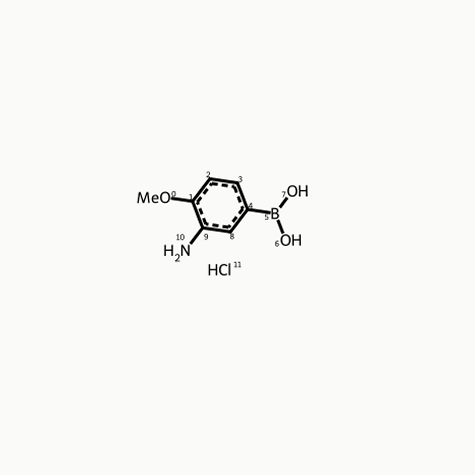 COc1ccc(B(O)O)cc1N.Cl